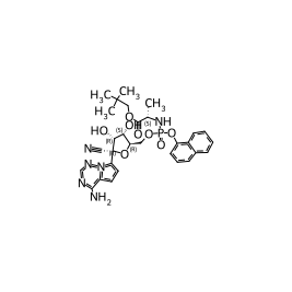 C[C@H](NP(=O)(OC[C@H]1O[C@@](C#N)(c2ccc3c(N)ncnn23)[C@H](O)[C@@H]1O)Oc1cccc2ccccc12)C(=O)OCC(C)(C)C